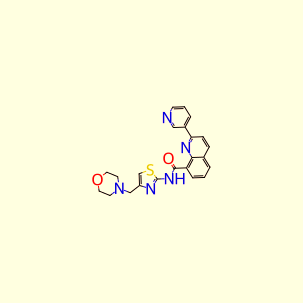 O=C(Nc1nc(CN2CCOCC2)cs1)c1cccc2ccc(-c3cccnc3)nc12